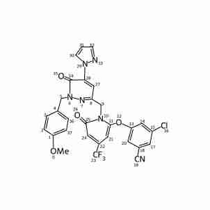 COc1ccc(Cn2nc(Cn3c(Oc4cc(Cl)cc(C#N)c4)cc(C(F)(F)F)cc3=O)cc(-n3cccn3)c2=O)cc1